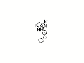 Nc1nccc2c(Br)nc(-c3ccc(Oc4ccccc4)cc3)n12